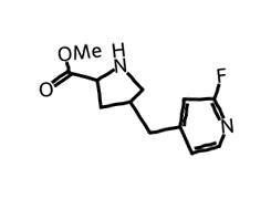 COC(=O)C1CC(Cc2ccnc(F)c2)CN1